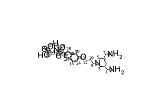 NCCCN(CCCN)CCCOc1ccc2sc(S(=O)(=O)NCP(=O)(O)O)cc2c1